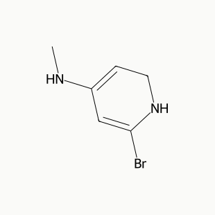 CNC1=CCNC(Br)=C1